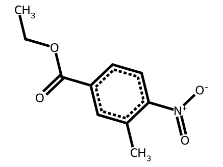 CCOC(=O)c1ccc([N+](=O)[O-])c(C)c1